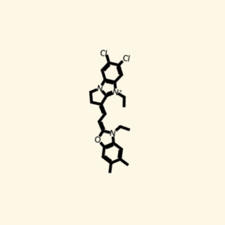 CCN1C(=CC=C2CCn3c2[n+](CC)c2cc(Cl)c(Cl)cc23)Oc2cc(C)c(C)cc21